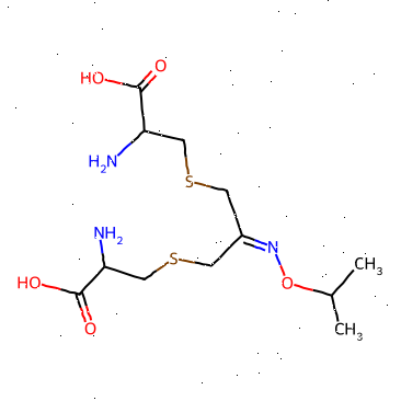 CC(C)ON=C(CSCC(N)C(=O)O)CSCC(N)C(=O)O